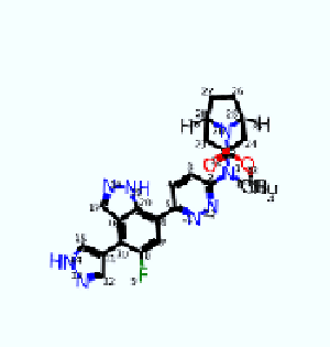 CN(c1ccc(-c2cc(F)c(-c3cn[nH]c3)c3cn[nH]c23)nn1)C1C[C@H]2CC[C@@H](C1)N2C(=O)OC(C)(C)C